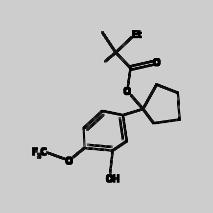 CCC(C)(C)C(=O)OC1(c2ccc(OC(F)(F)F)c(O)c2)CCCC1